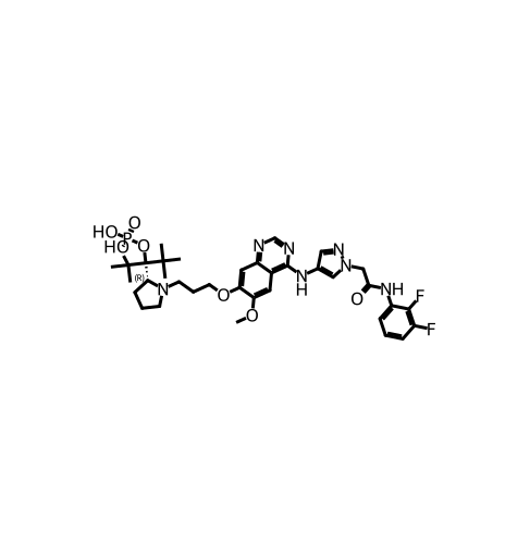 COc1cc2c(Nc3cnn(CC(=O)Nc4cccc(F)c4F)c3)ncnc2cc1OCCCN1CCC[C@@H]1C(OP(=O)(O)O)(C(C)(C)C)C(C)(C)C